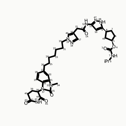 CC(C)NC(=O)O[C@@H]1CC[C@H](c2cc(NC(=O)Cc3cnn(CCCCCCCc4ccc5c(c4)n(C)c(=O)n5C4CCC(=O)NC4=O)c3)n[nH]2)C1